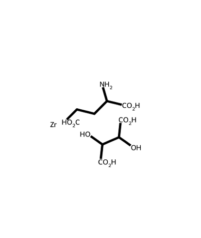 NC(CCC(=O)O)C(=O)O.O=C(O)C(O)C(O)C(=O)O.[Zr]